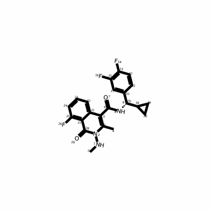 CNn1c(C)c(C(=O)N[C@H](c2ccc(F)c(F)c2)C2CC2)c2cccc(F)c2c1=O